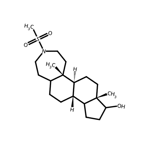 C[C@]12CC[C@H]3[C@@H](CCC4CCN(S(C)(=O)=O)CC[C@@]43C)C1CCC2O